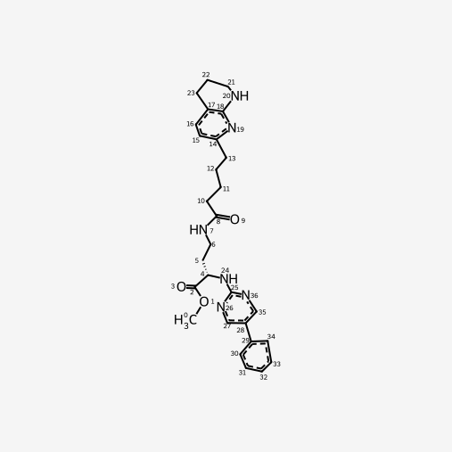 COC(=O)[C@H](CCNC(=O)CCCCc1ccc2c(n1)NCCC2)Nc1ncc(-c2ccccc2)cn1